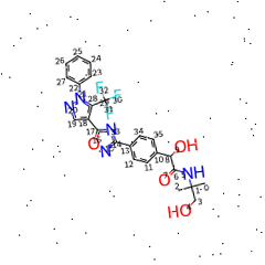 CC(C)(CO)NC(=O)C(O)c1ccc(-c2noc(-c3cnn(-c4ccccc4)c3C(F)(F)F)n2)cc1